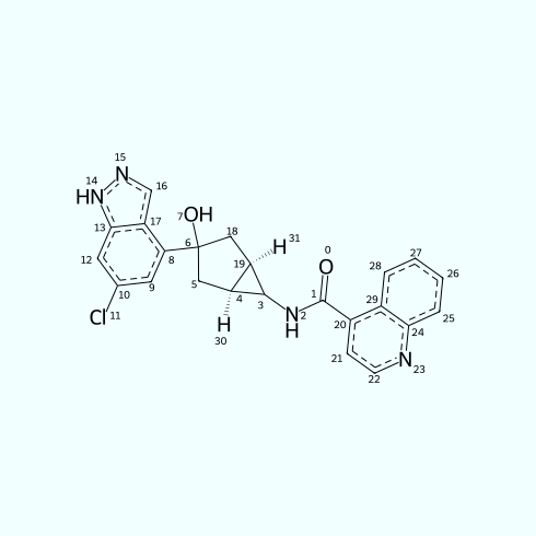 O=C(NC1[C@H]2CC(O)(c3cc(Cl)cc4[nH]ncc34)C[C@@H]12)c1ccnc2ccccc12